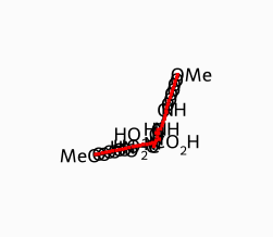 COCCOCCOCCOCCOCCOCCOCCNC(=O)CCCCCCCCCCNC(=O)CN(CCN(CCN(CC(=O)O)CC(=O)NCCCCCCCCCCC(=O)NCCOCCOCCOCCOCCOCCOCCOC)CC(=O)O)CC(=O)O